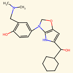 CN(C)Cc1cc(N2COc3cc(C(O)C4CCCCC4)[nH]c32)ccc1O